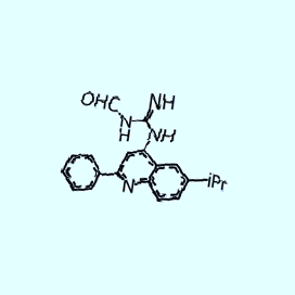 CC(C)c1ccc2nc(-c3ccccc3)cc(NC(=N)NC=O)c2c1